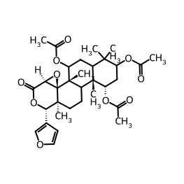 CC(=O)OC1C[C@H](OC(C)=O)[C@@]2(C)C(CC(OC(C)=O)[C@]3(C)C2CC[C@@]2(C)[C@H](c4ccoc4)OC(=O)[C@H]4O[C@@]432)C1(C)C